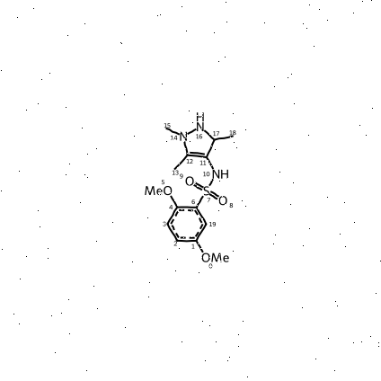 COc1ccc(OC)c(S(=O)(=O)NC2=C(C)N(C)NC2C)c1